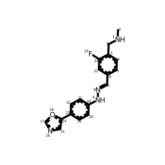 CNCc1ccc(C=NNc2ccc(-c3cnco3)cc2)cc1F